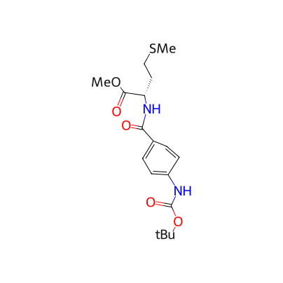 COC(=O)[C@H](CCSC)NC(=O)c1ccc(NC(=O)OC(C)(C)C)cc1